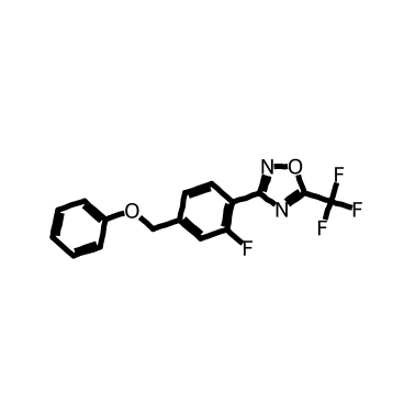 Fc1cc(COc2ccccc2)ccc1-c1noc(C(F)(F)F)n1